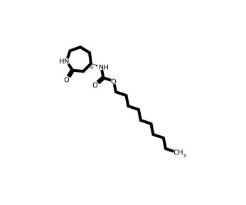 CCCCCCCCCCOC(=O)N[C@H]1CCCNC(=O)C1